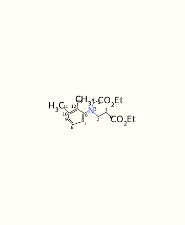 CCOC(=O)CCN(CC(=O)OCC)c1cccc(C)c1C